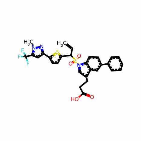 C=CC(c1ccc(-c2cc(C(F)(F)F)n(C)n2)s1)S(=O)(=O)n1cc(CCC(=O)O)c2cc(-c3ccccc3)ccc21